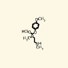 CNCCN(C)C(=O)Oc1ccc(OC)cc1.Cl